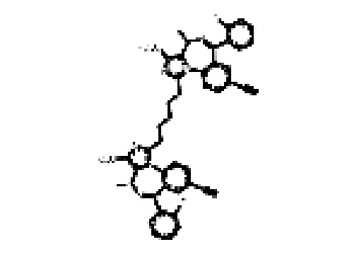 C#Cc1ccc2c(c1)C(c1ccccc1F)=NC(C)c1c(C(=O)O)nc(CCCCCc3nc(C(=O)O)c4n3-c3ccc(C#C)cc3C(c3ccccc3F)=N[C@H]4C)n1-2